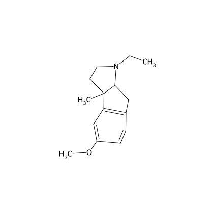 CCN1CCC2(C)c3cc(OC)ccc3CC12